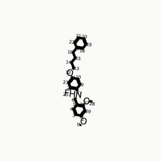 COc1ccc(CNc2ccc(OCCCCc3ccccc3)cc2F)c(OC)c1